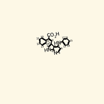 O=C(O)C(=Cc1c[nH]c2nccc(Nc3ccccc3)c12)c1ccccc1